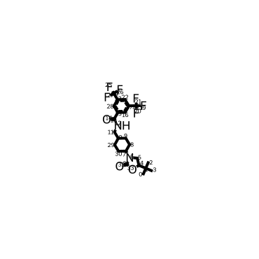 CC(C)(C)C1CN(C2CCC(CNC(=O)c3cc(C(F)(F)F)cc(C(F)(F)F)c3)CC2)C(=O)O1